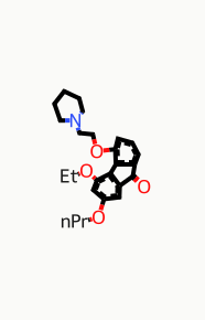 CCCOc1cc(OCC)c2c(c1)C(=O)c1cccc(OCCN3CCCCC3)c1-2